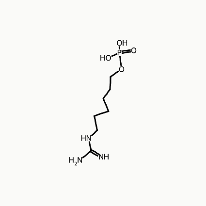 N=C(N)NCCCCCCOP(=O)(O)O